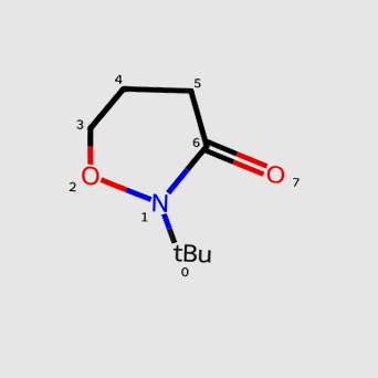 CC(C)(C)N1OCCCC1=O